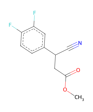 COC(=O)CC(C#N)c1ccc(F)c(F)c1